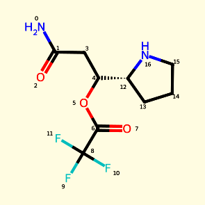 NC(=O)CC(OC(=O)C(F)(F)F)[C@H]1CCCN1